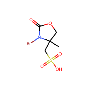 CC1(CS(=O)(=O)O)COC(=O)N1Br